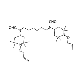 C=CCON1C(C)(C)CC(N(C=O)CCCCCCN(C=O)C2CC(C)(C)N(OCC=C)C(C)(C)C2)CC1(C)C